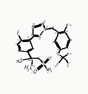 C[C@](O)(CS(N)(=O)=O)c1ccc(F)c(-c2nnn(Cc3cc(OC(F)(F)F)ccc3F)n2)c1